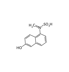 C=[N+](c1cccc2cc(O)ccc12)S(=O)(=O)O